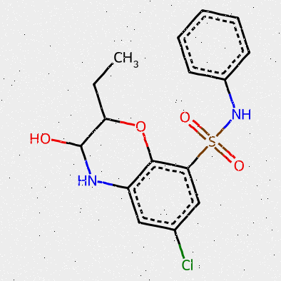 CCC1Oc2c(cc(Cl)cc2S(=O)(=O)Nc2ccccc2)NC1O